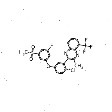 Cc1nc2c(C(F)(F)F)cccc2nc1-c1cc(Oc2cc(F)cc(S(C)(=O)=O)c2)ccc1Cl